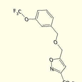 CCOC(=O)c1cc(COCc2cccc(OC(F)(F)F)c2)on1